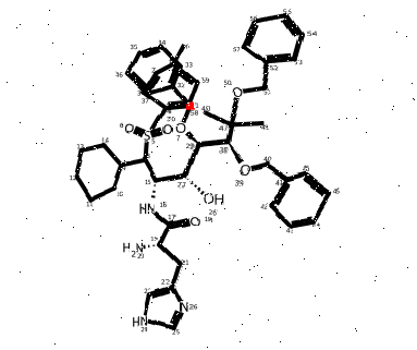 Cc1ccc(S(=O)(=O)C(C2CCCCC2)[C@@H](NC(=O)[C@@H](N)Cc2c[nH]cn2)[C@@H](O)[C@@H](OCc2ccccc2)[C@H](OCc2ccccc2)C(C)(C)OCc2ccccc2)cc1